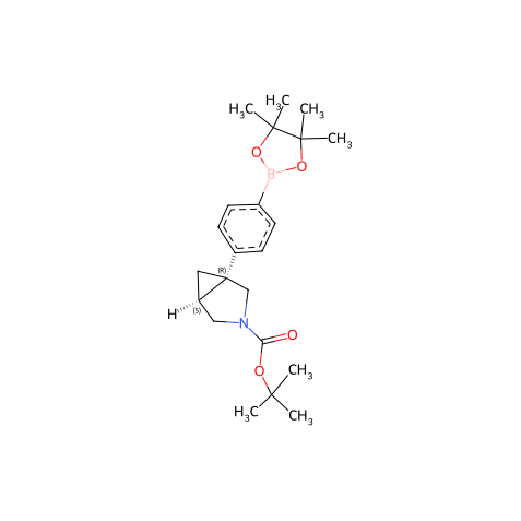 CC(C)(C)OC(=O)N1C[C@H]2C[C@@]2(c2ccc(B3OC(C)(C)C(C)(C)O3)cc2)C1